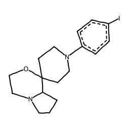 Ic1ccc(N2CCC3(CC2)OCCN2CCCC23)cc1